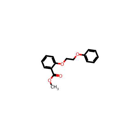 COC(=O)c1ccccc1OCCOc1ccccc1